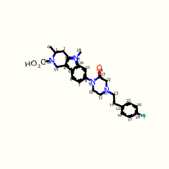 CC1Cc2c(c3ccc(N4CCN(CCc5ccc(F)cc5)CC4=O)cc3n2C)CN1C(=O)O